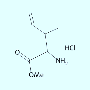 C=CC(C)C(N)C(=O)OC.Cl